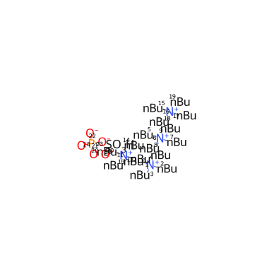 CCCC[N+](CCCC)(CCCC)CCCC.CCCC[N+](CCCC)(CCCC)CCCC.CCCC[N+](CCCC)(CCCC)CCCC.CCCC[N+](CCCC)(CCCC)CCCC.O=P([O-])([O-])[O-].O=S(=O)([O-])O